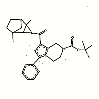 CC(C)(C)OC(=O)N1CCn2c(-c3ccccc3)nc(C(=O)N3C4C5(C)CCC(C5)C43C)c2C1